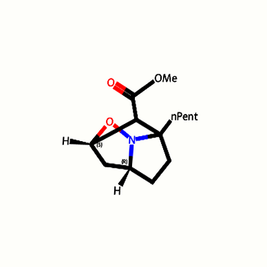 CCCCCC12CC[C@@H]3C[C@H](ON31)C2C(=O)OC